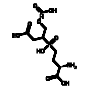 N[C@@H](CCP(=O)(O)C(CO[PH](=O)O)CC(=O)O)C(=O)O